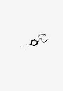 O=[N+]([O-])c1ccc(N2CCOCS2(=O)=O)cc1